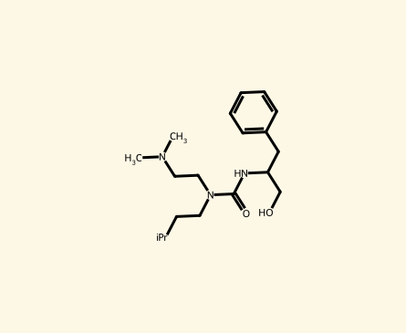 CC(C)CCN(CCN(C)C)C(=O)NC(CO)Cc1ccccc1